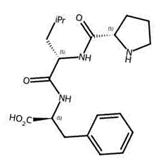 CC(C)C[C@H](NC(=O)[C@@H]1CCCN1)C(=O)N[C@@H](Cc1ccccc1)C(=O)O